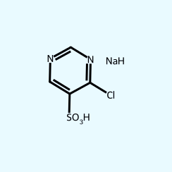 O=S(=O)(O)c1cncnc1Cl.[NaH]